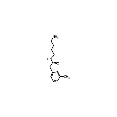 Cc1cccc(CC(=O)NCCCCN)c1